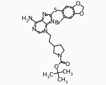 CC(C)(C)OC(=O)N1CCC(CCn2cnc(N)c3nc(Sc4cc5c(cc4Br)OCO5)nc2-3)C1